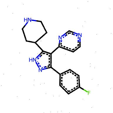 Fc1ccc(-c2n[nH]c(C3CCNCC3)c2-c2ccncn2)cc1